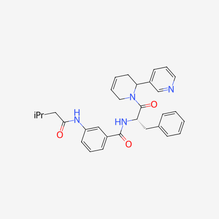 CC(C)CC(=O)Nc1cccc(C(=O)N[C@@H](Cc2ccccc2)C(=O)N2CC=CCC2c2cccnc2)c1